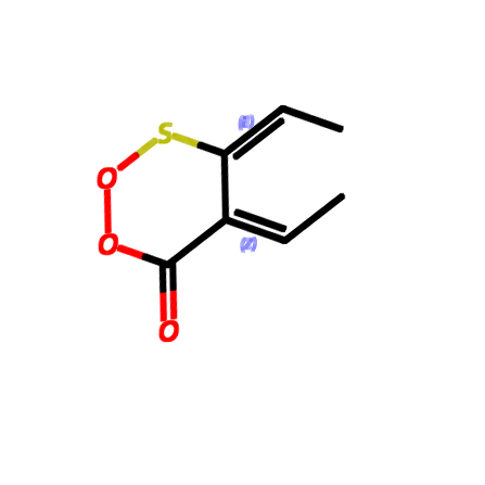 C/C=C1/C(=O)OOS/C1=C/C